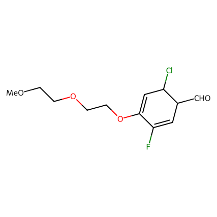 COCCOCCOC1=CC(Cl)C(C=O)C=C1F